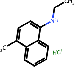 CCNc1ccc(C)c2ccccc12.Cl